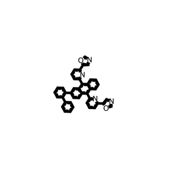 c1ccc(-c2ccccc2-c2ccc3c(-c4cccc(-c5cnco5)n4)c4ccccc4c(-c4cccc(-c5cnco5)n4)c3c2)cc1